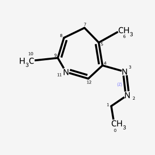 CC/N=N\C1=C(C)CC=C(C)N=C1